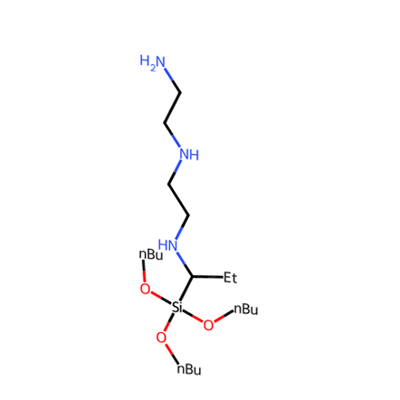 CCCCO[Si](OCCCC)(OCCCC)C(CC)NCCNCCN